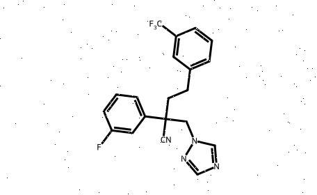 N#CC(CCc1cccc(C(F)(F)F)c1)(Cn1cncn1)c1cccc(F)c1